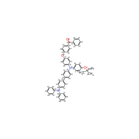 CCCC(C)(C)Oc1ccc(N(c2ccc(Oc3ccc(C(=O)c4ccccc4)cc3)cc2)c2ccc(-c3ccc(N(c4ccccc4)c4ccccc4)cc3)cc2)cc1